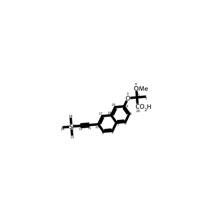 COC(C)(Oc1ccc2ccc(C#C[Si](C)(C)C)cc2c1)C(=O)O